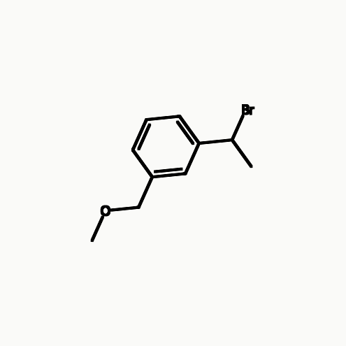 COCc1cccc(C(C)Br)c1